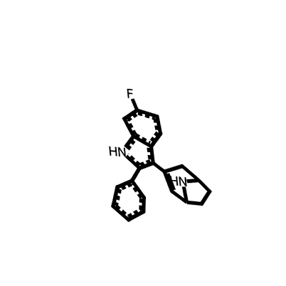 Fc1ccc2c(C3=CC4CCC(C3)N4)c(-c3ccccc3)[nH]c2c1